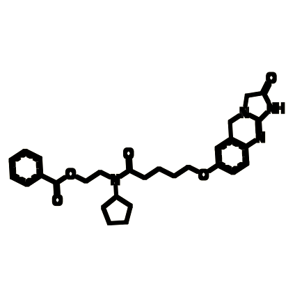 O=C1CN2Cc3cc(OCCCCC(=O)N(CCOC(=O)c4ccccc4)C4CCCC4)ccc3N=C2N1